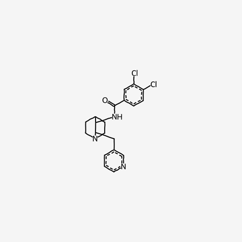 O=C(NC1C2CCN(CC2)C1Cc1cccnc1)c1ccc(Cl)c(Cl)c1